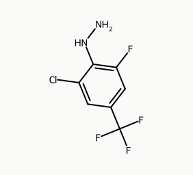 NNc1c(F)cc(C(F)(F)F)cc1Cl